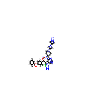 O=C(c1ccc(Oc2ccccc2)cc1Cl)c1c[nH]c2ncnc(NC3CCN(C4CN(C5CNC5)C4)CC3)c12